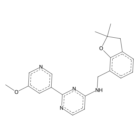 COc1cncc(-c2nccc(NCc3cccc4c3OC(C)(C)C4)n2)c1